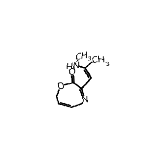 CN/C(C)=C\C1=N\C/C=C\COC1=O